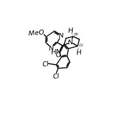 COc1cnc(C(=O)N2[C@H]3Cc4[nH]c5c(Cl)c(Cl)ccc5c4[C@@H]2C3)nc1